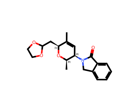 CC1=C[C@@H](N2Cc3ccccc3C2=O)[C@@H](C)O[C@H]1CC1OCCO1